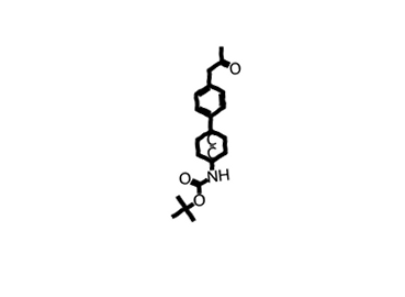 CC(=O)Cc1ccc(C23CCC(NC(=O)OC(C)(C)C)(CC2)CC3)cc1